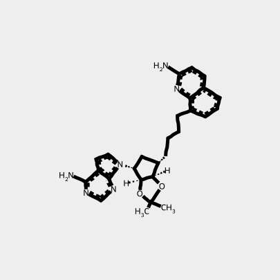 CC1(C)O[C@@H]2[C@@H](CCCCc3cccc4ccc(N)nc34)C[C@@H](n3ccc4c(N)ncnc43)[C@@H]2O1